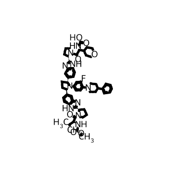 COC(=O)N[C@H](C(=O)N1CCC[C@H]1c1nc2cc([C@H]3CC[C@H](c4ccc5[nH]c([C@@H]6CCCN6C(=O)[C@@H](NC(=O)O)C6CCOCC6)nc5c4)N3c3ccc(N4CCC(c5ccccc5)CC4)c(F)c3)ccc2[nH]1)C(C)C